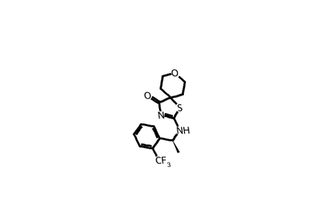 C[C@H](NC1=NC(=O)C2(CCOCC2)S1)c1ccccc1C(F)(F)F